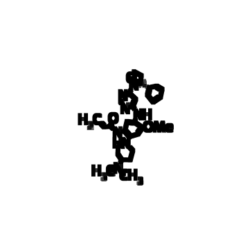 C=CC(=O)Nc1cc(Nc2cc(N3OCC[C@@H]3c3ccccc3)ncn2)c(OC)cc1N1CCC(N(C)C)CC1